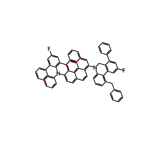 Fc1cc(CCCc2ccccc2)c(CN(c2ccccc2)c2ccc3ccc4c(N(c5ccccc5)c5c(Cc6ccccc6)cc(F)cc5-c5ccccc5)ccc5ccc2c3c54)c(-c2ccccc2)c1